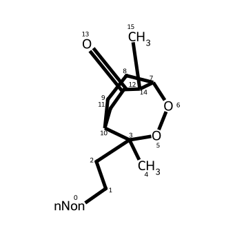 CCCCCCCCCCCC1(C)OOC2CCC1CC(=O)C2C